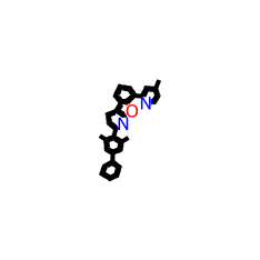 Cc1ccnc(-c2cccc3c2oc2nc(-c4c(C)cc(-c5ccccc5)cc4C)ccc23)c1